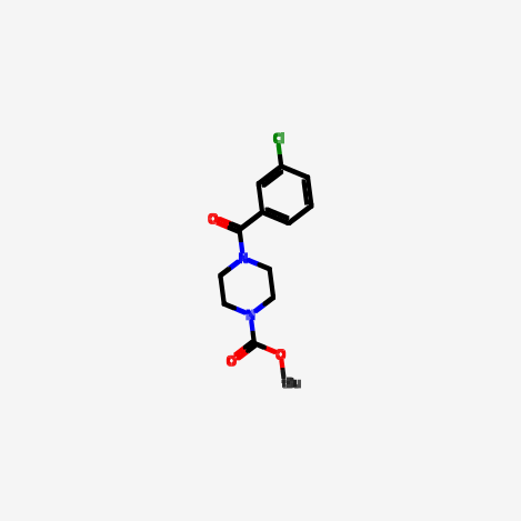 CC(C)(C)OC(=O)N1CCN(C(=O)c2cccc(Cl)c2)CC1